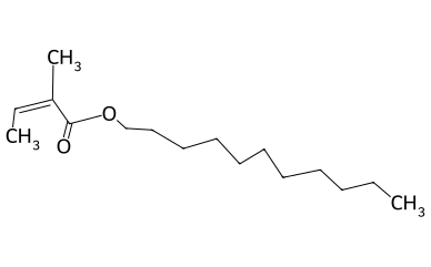 CC=C(C)C(=O)OCCCCCCCCCCC